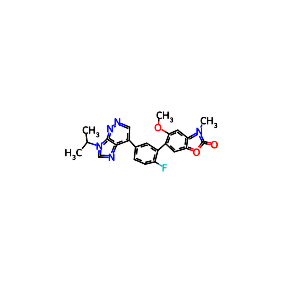 COc1cc2c(cc1-c1cc(-c3cnnc4c3ncn4C(C)C)ccc1F)oc(=O)n2C